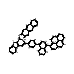 c1ccc2cc3cc4c(cc3cc2c1)nc1c2sc3ccccc3c2cc(-c2ccc(-c3ccc(-c5ccc6ccc7cccc8ccc5c6c78)c5ccccc35)cc2)n41